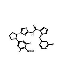 CC(=O)Nc1c(F)cc(N2CCC[C@@H]2c2csc(NC(=O)c3cccn3Cc3ccnc(F)c3)n2)cc1F